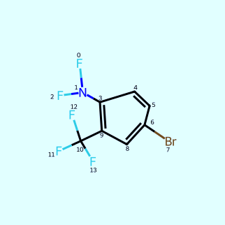 FN(F)c1ccc(Br)cc1C(F)(F)F